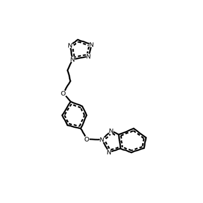 c1ccc2nn(Oc3ccc(OCCn4ncnn4)cc3)nc2c1